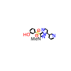 CNc1nn2c(-c3cccnc3)ccnc2c1S(=O)(=O)c1cccc(O)c1